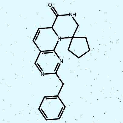 O=C1NCC2(CCCC2)N2c3nc(Cc4ccccc4)ncc3C=CC12